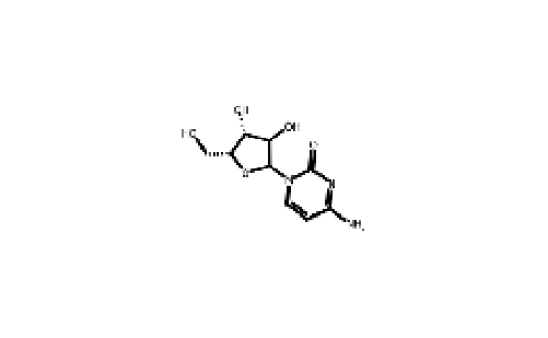 Nc1ccn(C2O[C@H](CO)[C@H](O)C2O)c(=O)n1